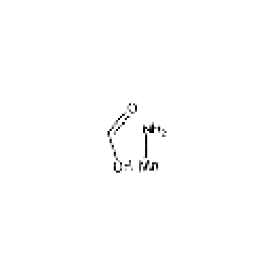 O=CO.[NH2][Mn]